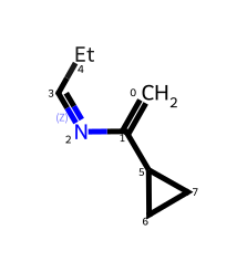 C=C(/N=C\CC)C1CC1